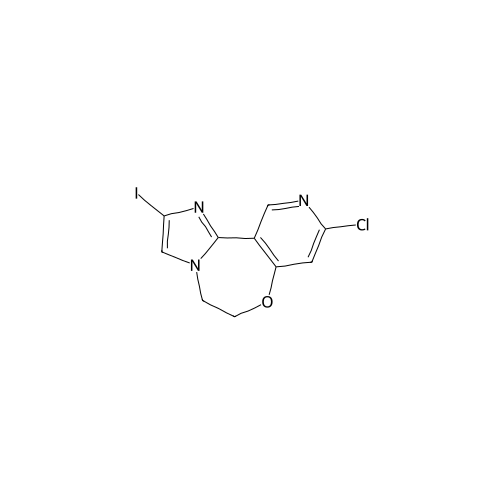 Clc1cc2c(cn1)-c1nc(I)cn1CCO2